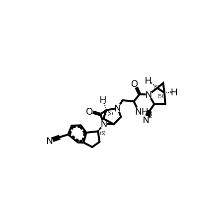 N#Cc1ccc2c(c1)CC[C@@H]2N1C(=O)[C@@H]2CC1CN2CC(N)C(=O)N1C(C#N)C[C@@H]2C[C@@H]21